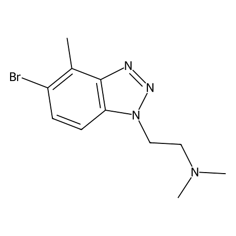 Cc1c(Br)ccc2c1nnn2CCN(C)C